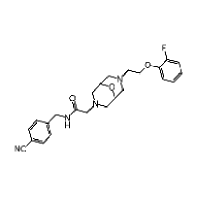 N#Cc1ccc(CNC(=O)CN2CC3CN(CCOc4ccccc4F)CC(C2)O3)cc1